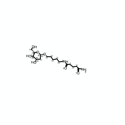 CNC(=O)CCCC(=O)NCCCCCO[C@H]1C[C@@H](O)[C@@H](O)[C@@H](CO)O1